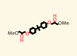 COCC(O)COC1=CCC(C(C)(C)c2ccc(OCC(O)COC)cc2)C=C1